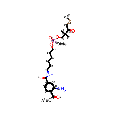 COC(=O)c1ccc(C(=O)NCCCCCCOP(=O)(OC)OCC(C)(C)C(=O)CSC(C)=O)cc1N